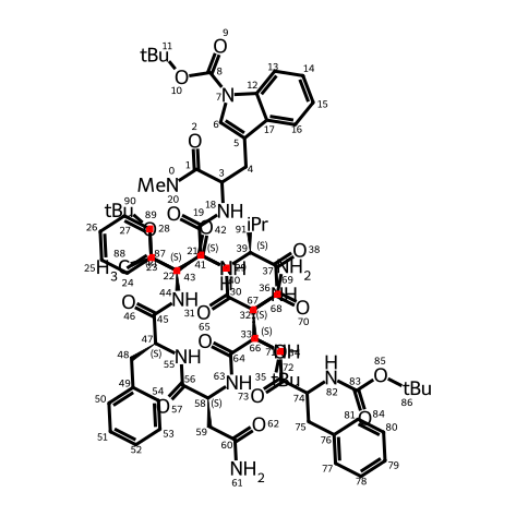 CNC(=O)C(Cc1cn(C(=O)OC(C)(C)C)c2ccccc12)NC(=O)[C@H](Cc1ccccc1)NC(=O)[C@H](COC(C)(C)C)NC(=O)[C@@H](NC(=O)[C@@H](NC(=O)[C@H](Cc1ccccc1)NC(=O)[C@H](CC(N)=O)NC(=O)[C@H](CC(N)=O)NC(=O)C(Cc1ccccc1)NC(=O)OC(C)(C)C)[C@@H](C)OC(C)(C)C)C(C)C